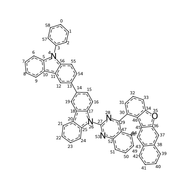 c1ccc(-n2c3ccccc3c3cc(-c4ccc5c(c4)c4ccccc4n5-c4nc(-c5cccc6oc7cc8ccccc8cc7c56)c5ccccc5n4)ccc32)cc1